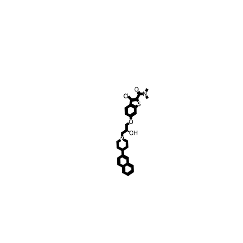 CN(C)C(=O)c1sc2cc(OC[C@@H](O)CN3CCC(c4ccc5ccccc5c4)CC3)ccc2c1Cl